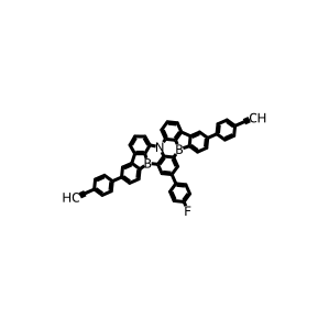 C#Cc1ccc(-c2ccc3c(c2)-c2cccc4c2B3c2cc(-c3ccc(F)cc3)cc3c2N4c2cccc4c2B3c2ccc(-c3ccc(C#C)cc3)cc2-4)cc1